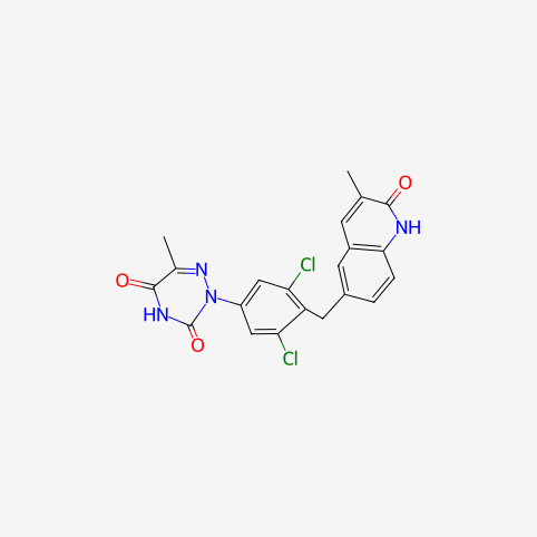 Cc1cc2cc(Cc3c(Cl)cc(-n4nc(C)c(=O)[nH]c4=O)cc3Cl)ccc2[nH]c1=O